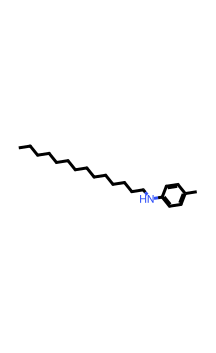 CCCCCCCCCCCCCCNc1ccc(C)cc1